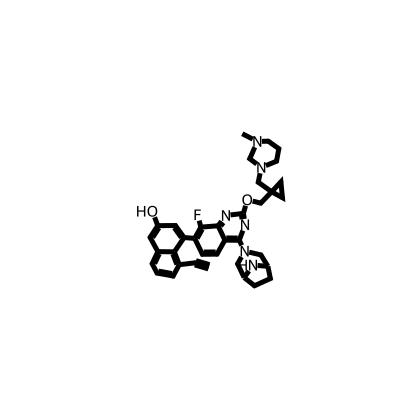 C#Cc1cccc2cc(O)cc(-c3ccc4c(N5CC6CCC(C5)N6)nc(OCC5(CN6CCCN(C)C6)CC5)nc4c3F)c12